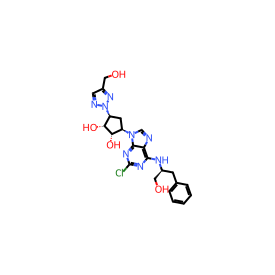 OCc1cnn([C@H]2C[C@@H](n3cnc4c(N[C@H](CO)Cc5ccccc5)nc(Cl)nc43)[C@H](O)[C@@H]2O)n1